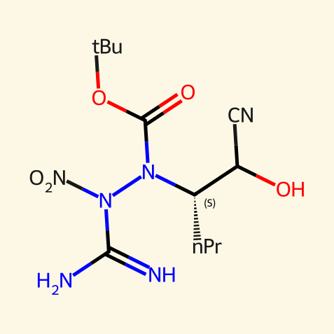 CCC[C@@H](C(O)C#N)N(C(=O)OC(C)(C)C)N(C(=N)N)[N+](=O)[O-]